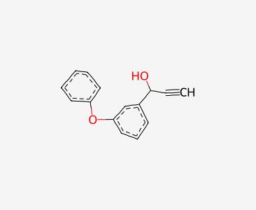 C#CC(O)c1cccc(Oc2ccccc2)c1